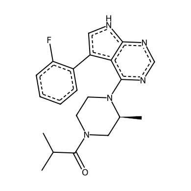 CC(C)C(=O)N1CCN(c2ncnc3[nH]cc(-c4ccccc4F)c23)[C@@H](C)C1